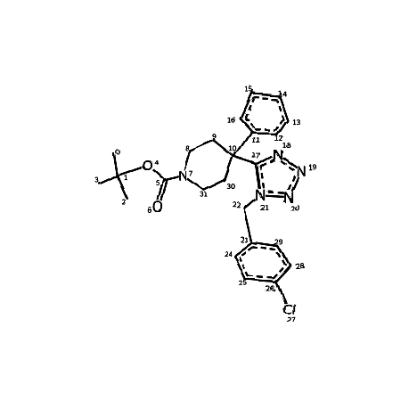 CC(C)(C)OC(=O)N1CCC(c2ccccc2)(c2nnnn2Cc2ccc(Cl)cc2)CC1